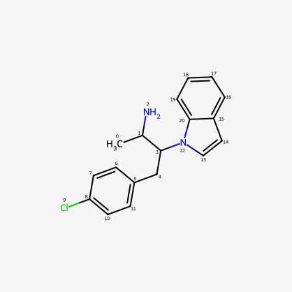 CC(N)C(Cc1ccc(Cl)cc1)n1ccc2ccccc21